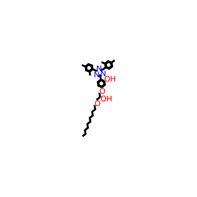 CCCCCCCCCCCOCC(O)COc1ccc(-c2nc(-c3ccc(C)cc3C)nc(-c3ccc(C)cc3C)n2)c(O)c1